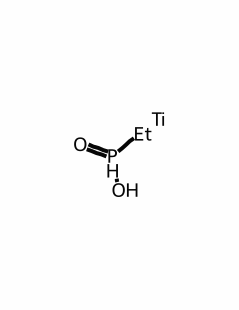 CC[PH](=O)O.[Ti]